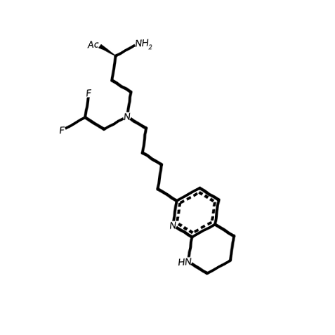 CC(=O)[C@@H](N)CCN(CCCCc1ccc2c(n1)NCCC2)CC(F)F